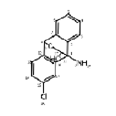 NC12c3ccccc3C(CC1O)c1ccc(Cl)cc12